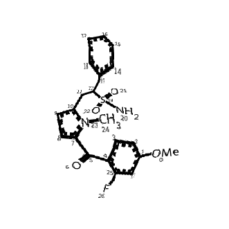 COc1ccc(C(=O)c2ccc(CC(c3ccccc3)S(N)(=O)=O)n2C)c(F)c1